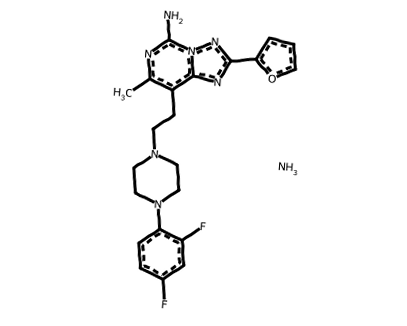 Cc1nc(N)n2nc(-c3ccco3)nc2c1CCN1CCN(c2ccc(F)cc2F)CC1.N